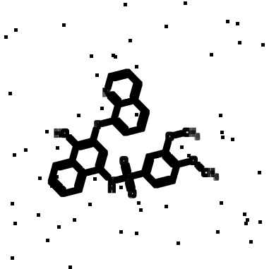 COc1ccc(S(=O)(=O)Nc2cc(Sc3cccc4cccnc34)c(O)c3ccccc23)cc1OC